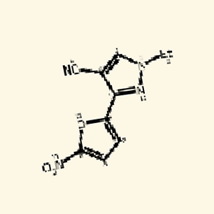 CCn1cc(C#N)c(-c2ccc([N+](=O)[O-])o2)n1